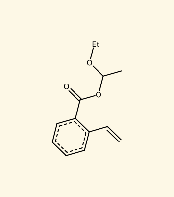 C=Cc1ccccc1C(=O)OC(C)OCC